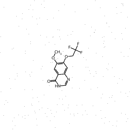 COc1cc2c(=O)[nH]cnc2cc1OCC(F)(F)F